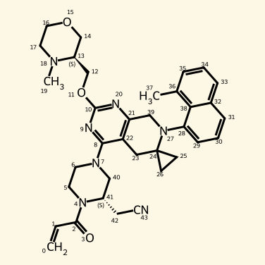 C=CC(=O)N1CCN(c2nc(OC[C@@H]3COCCN3C)nc3c2CC2(CC2)N(c2cccc4cccc(C)c24)C3)C[C@@H]1CC#N